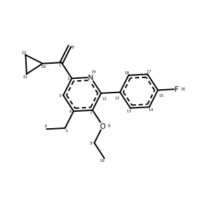 C=C(c1cc(CC)c(OCC)c(-c2ccc(F)cc2)n1)C1CC1